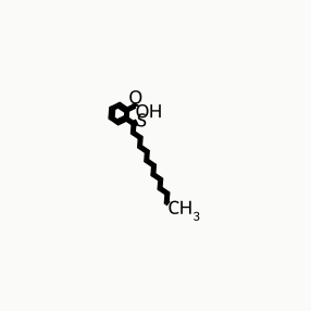 CCCCCCCCCCCCC(=S)c1ccccc1C(=O)O